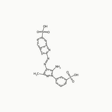 Cc1nn(-c2cccc(S(=O)(=O)O)c2)c(N)c1N=Nc1nc2cc(S(=O)(=O)O)ccc2s1